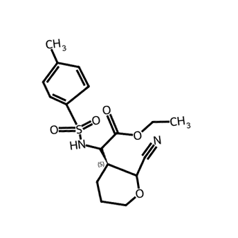 CCOC(=O)C(NS(=O)(=O)c1ccc(C)cc1)[C@@H]1CCCOC1C#N